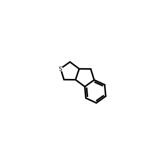 c1ccc2c(c1)CC1CSCC21